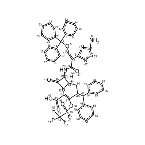 Nc1nc(C(=NOC(c2ccccc2)(c2ccccc2)c2ccccc2)C(=O)N[C@@H]2C(=O)N3C(C(=O)O)=C(OS(=O)(=O)C(F)(F)F)C(C(c4ccccc4)c4ccccc4)C[C@H]23)ns1